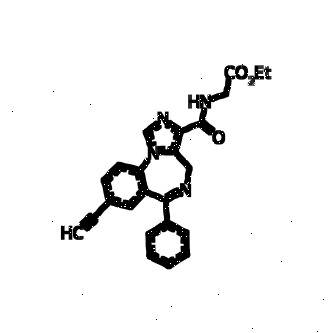 C#Cc1ccc2c(c1)C(c1ccccc1)=NCc1c(C(=O)NCC(=O)OCC)ncn1-2